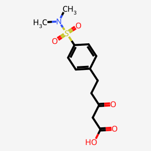 CN(C)S(=O)(=O)c1ccc(CCC(=O)CC(=O)O)cc1